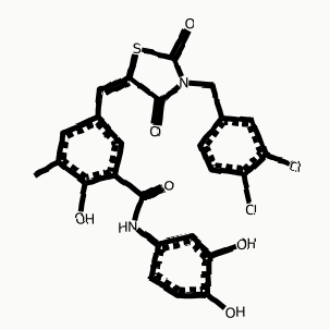 Cc1cc(C=C2SC(=O)N(Cc3ccc(Cl)c(Cl)c3)C2=O)cc(C(=O)Nc2ccc(O)c(O)c2)c1O